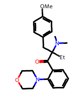 CCC(Cc1ccc(OC)cc1)(C(=O)c1ccccc1N1CCOCC1)N(C)C